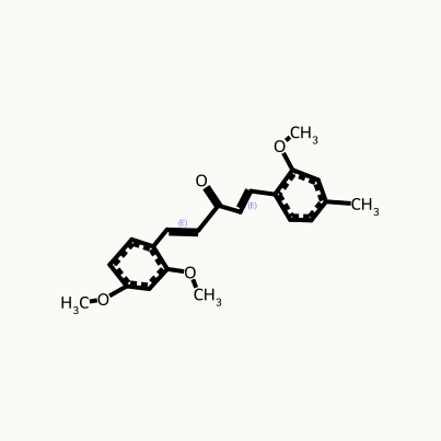 COc1ccc(/C=C/C(=O)/C=C/c2ccc(C)cc2OC)c(OC)c1